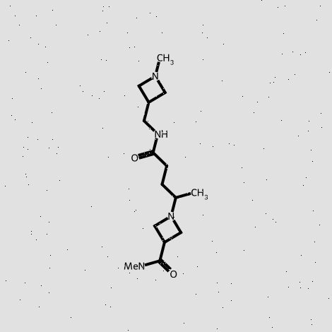 CNC(=O)C1CN(C(C)CCC(=O)NCC2CN(C)C2)C1